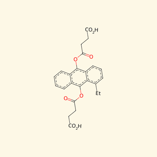 CCc1cccc2c(OC(=O)CCC(=O)O)c3ccccc3c(OC(=O)CCC(=O)O)c12